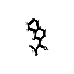 CN(C)C(=O)c1ccc2ccccc2c1